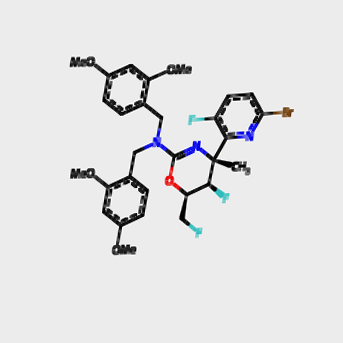 COc1ccc(CN(Cc2ccc(OC)cc2OC)C2=N[C@](C)(c3nc(Br)ccc3F)[C@@H](F)[C@@H](CF)O2)c(OC)c1